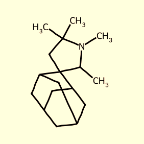 CC1N(C)C(C)(C)CC12C1CC3CC(C1)CC2C3